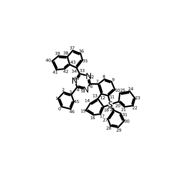 c1ccc(-c2nc(-c3cccc4c3-c3ccccc3S4(c3ccccc3)c3ccccc3)nc(-c3cccc4ccccc34)n2)cc1